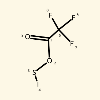 O=C(OSI)C(F)(F)F